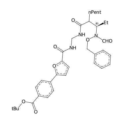 CCCCCC(C(=O)NCNC(=O)c1ccc(-c2ccc(C(=O)OC(C)(C)C)cc2)o1)[C@@H](CC)N(C=O)OCc1ccccc1